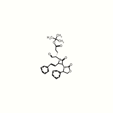 CC(C)(C)OC(=O)CC[C@@H](C=O)N1C(=O)C(N2C(=O)OCC2c2ccccc2)C1/C=C/c1ccccc1